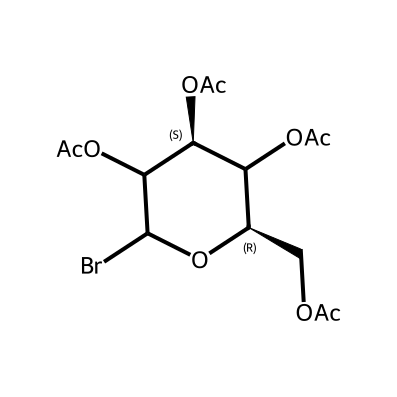 CC(=O)OC[C@H]1OC(Br)C(OC(C)=O)[C@@H](OC(C)=O)C1OC(C)=O